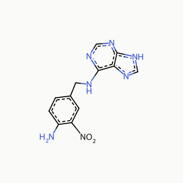 Nc1ccc(CNc2ncnc3[nH]cnc23)cc1[N+](=O)[O-]